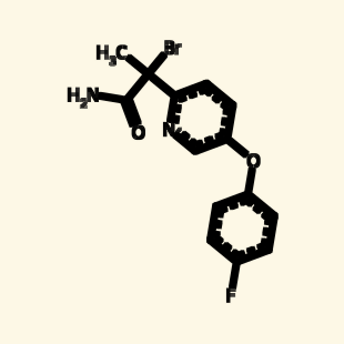 CC(Br)(C(N)=O)c1ccc(Oc2ccc(F)cc2)cn1